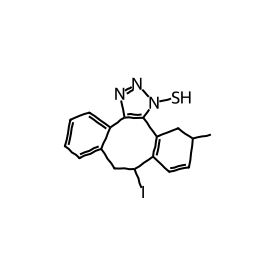 CC1C=CC2=C(C1)c1c(nnn1S)-c1ccccc1CC2I